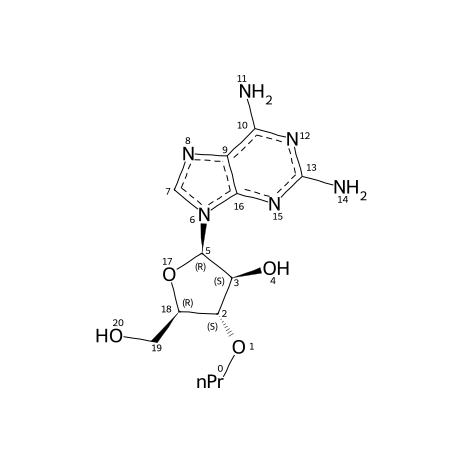 CCCO[C@H]1[C@H](O)[C@H](n2cnc3c(N)nc(N)nc32)O[C@@H]1CO